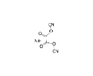 N#COC(=O)C(=O)OC#N.[Na]